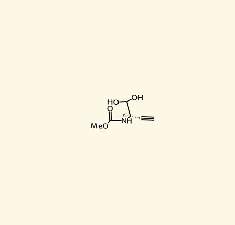 C#C[C@H](NC(=O)OC)C(O)O